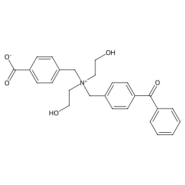 O=C([O-])c1ccc(C[N+](CCO)(CCO)Cc2ccc(C(=O)c3ccccc3)cc2)cc1